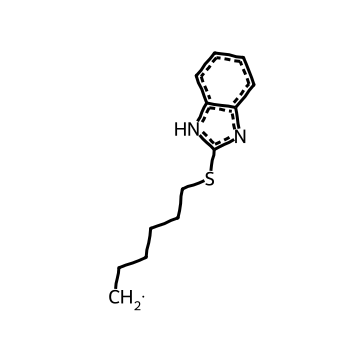 [CH2]CCCCCSc1nc2ccccc2[nH]1